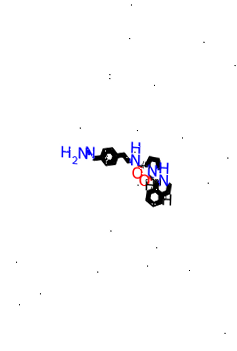 NN=Cc1ccc(CCNC(=O)[C@@H]2CCCN2C(=O)[C@@H]2NCC[C@@H]3CCCC[C@@H]32)cc1